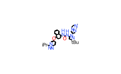 CC(C)c1nnc2ccc(O[C@@H]3CC[C@H](NC(=O)Nc4cc(C(C)(C)C)nn4-c4cnn(CCN(C)C)c4)c4ccccc43)cn12